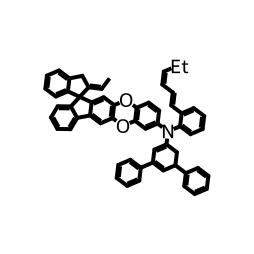 C/C=C1\Cc2ccccc2C12c1ccccc1-c1cc3c(cc12)Oc1ccc(N(C2=CC(c4ccccc4)=CC(c4ccccc4)C2)c2ccccc2/C=C/C=C\CC)cc1O3